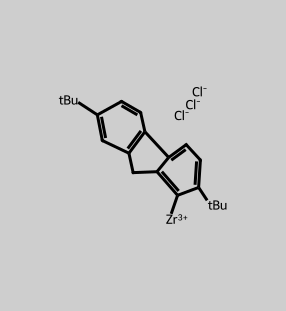 CC(C)(C)c1ccc2c(c1)Cc1c-2ccc(C(C)(C)C)[c]1[Zr+3].[Cl-].[Cl-].[Cl-]